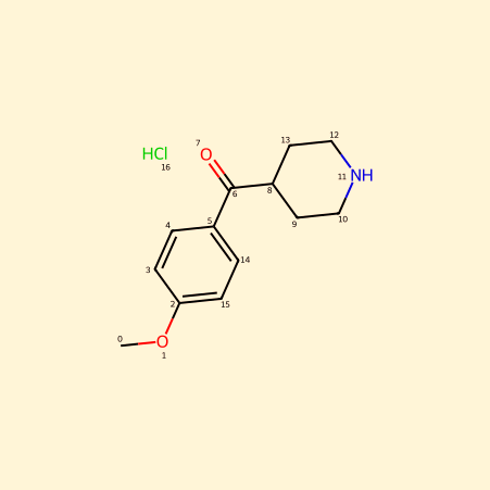 COc1ccc(C(=O)C2CCNCC2)cc1.Cl